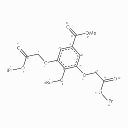 CCCCOc1c(OCC(=O)OC(C)C)cc(C(=O)OC)cc1OCC(=O)OC(C)C